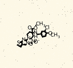 CCOC(=O)C1(NCc2ccc(OC)c(Cl)c2)CCN(c2ncc3ccsc3n2)C([N+](=O)[O-])C1